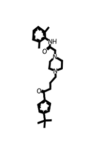 Cc1cccc(C)c1NC(=O)CN1CCN(CCCC(=O)c2ccc(C(C)(C)C)cc2)CC1